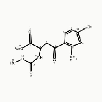 COC(=O)C(CC(=O)c1ccc(Cl)cc1N)NC(=O)OC(C)(C)C